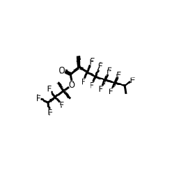 C=C(C(=O)OC(C)(C)C(F)(F)C(F)F)C(F)(F)C(F)(F)C(F)(F)C(F)(F)C(C)F